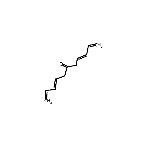 C=CC=CCC(=O)CC=CC=C